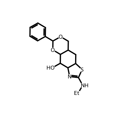 CCNC1=NC2C(CC3COC(c4ccccc4)OC3C2O)S1